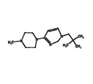 CN1CCN(C2=NCN(CC(C)(C)C)C=C2)CC1